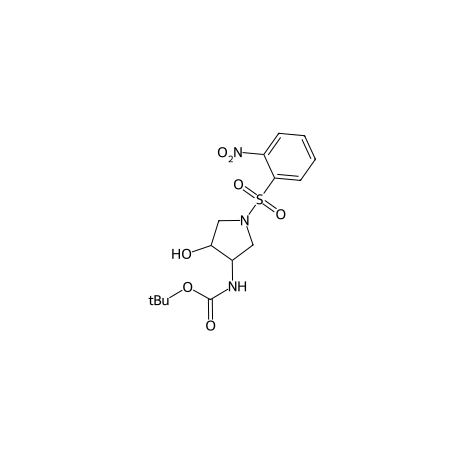 CC(C)(C)OC(=O)NC1CN(S(=O)(=O)c2ccccc2[N+](=O)[O-])CC1O